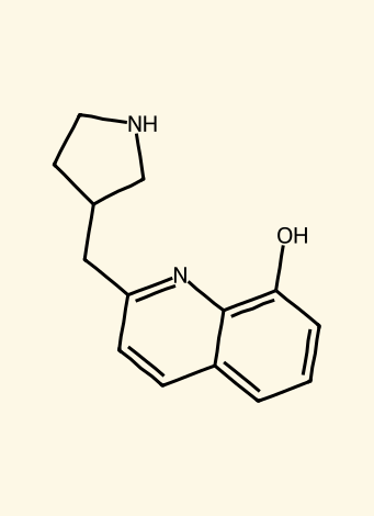 Oc1cccc2ccc(CC3CCNC3)nc12